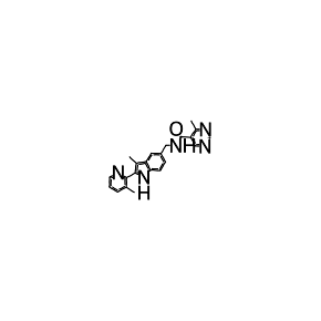 Cc1cccnc1-c1[nH]c2ccc(CNC(=O)c3cncnc3C)cc2c1C